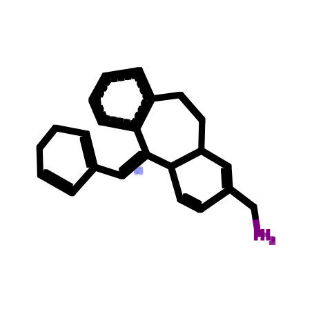 PCC1=CC2CCc3ccccc3/C(=C\C3=CCCC=C3)C2C=C1